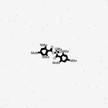 CNc1cc(NC)c(C(=O)OP(=O)(OCC(C)C)C(=O)c2c(NC)cc(NC)cc2NC)c(NC)c1